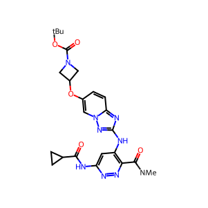 CNC(=O)c1nnc(NC(=O)C2CC2)cc1Nc1nc2ccc(OC3CN(C(=O)OC(C)(C)C)C3)cn2n1